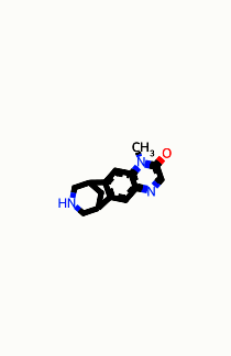 Cn1c(=O)cnc2cc3c(cc21)C1CNCC3C1